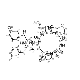 Cc1cccc(C[C@H](NC(=O)Nc2cccc(Cl)c2)C(=O)N[C@H]2CC3C(=O)[C@]34CCCN4C(=O)[C@H](C)NC(=O)[C@@H]3CCCCN3C(=O)[C@@H]3C[C@@H](O)CN3C2=O)c1